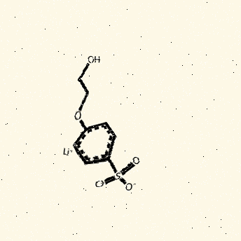 O=S(=O)([O-])c1ccc(OCCO)cc1.[Li+]